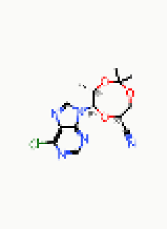 C[C@@H]1OC(C)(C)OC[C@@H](C#N)O[C@H]1n1cnc2c(Cl)ncnc21